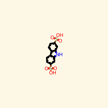 O=S(=O)(O)c1ccc2c(c1)[nH]c1cc(S(=O)(=O)O)ccc12